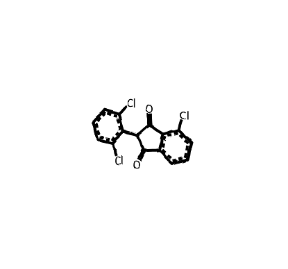 O=C1c2cccc(Cl)c2C(=O)C1c1c(Cl)cccc1Cl